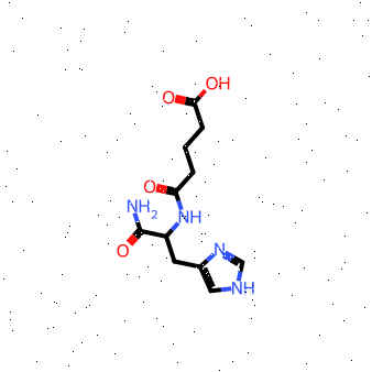 NC(=O)C(Cc1c[nH]cn1)NC(=O)CCCC(=O)O